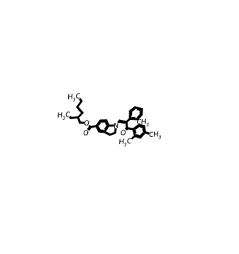 CCCCC(CC)COC(=O)c1ccc2c(c1)CCN2C=C(C(=O)c1c(C)cc(C)cc1C)c1ccccc1